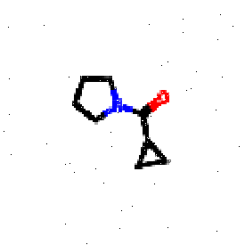 O=C(C1[CH]C1)N1CCCC1